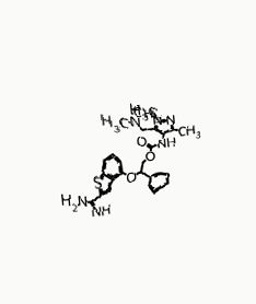 Cc1nn(C)c(CN(C)C)c1NC(=O)OCC(Oc1cccc2sc(C(=N)N)cc12)c1ccccc1